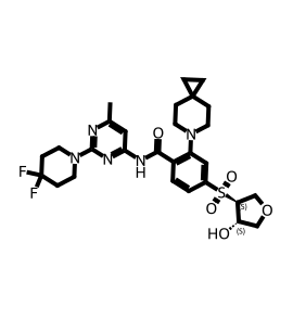 Cc1cc(NC(=O)c2ccc(S(=O)(=O)[C@H]3COC[C@@H]3O)cc2N2CCC3(CC2)CC3)nc(N2CCC(F)(F)CC2)n1